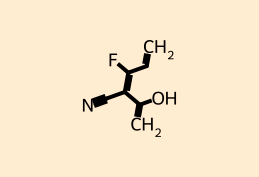 C=C/C(F)=C(/C#N)C(=C)O